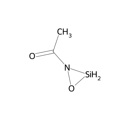 CC(=O)N1O[SiH2]1